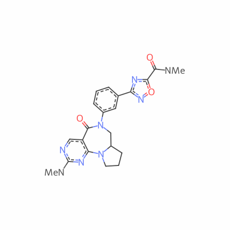 CNC(=O)c1nc(-c2cccc(N3CC4CCCN4c4nc(NC)ncc4C3=O)c2)no1